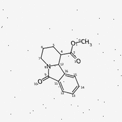 COC(=O)C1CCCN2C(=O)c3ccccc3C12